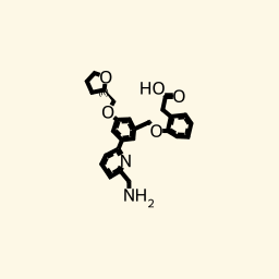 NCc1cccc(-c2cc(COc3ccccc3CC(=O)O)cc(OC[C@H]3CCCO3)c2)n1